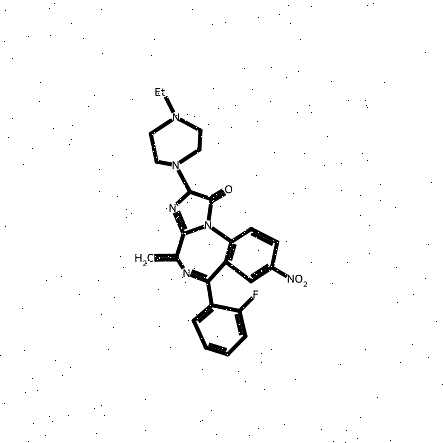 C=C1N=C(c2ccccc2F)c2cc([N+](=O)[O-])ccc2N2C(=O)C(N3CCN(CC)CC3)N=C12